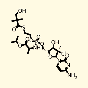 CC(C)OC(=O)C(C)NP(=O)(OCCSC(=O)C(C)(C)CO)OC[C@H]1O[C@@H](n2ccc(N)nc2=O)[C@](C)(Cl)[C@@H]1O